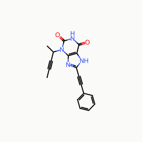 CC#CC(C)n1c(=O)[nH]c(=O)c2[nH]c(C#Cc3ccccc3)nc21